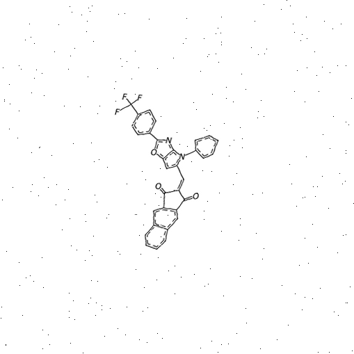 O=C1C(=Cc2cc3oc(-c4ccc(C(F)(F)F)cc4)nc3n2-c2ccccc2)C(=O)c2cc3ccccc3cc21